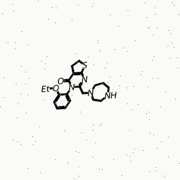 CCOc1ccccc1-n1c(CN2CCCNCC2)nc2c(c1=O)CCS2